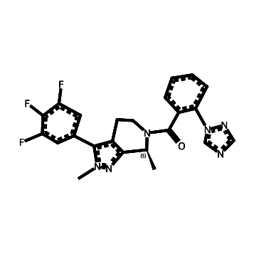 C[C@H]1c2nn(C)c(-c3cc(F)c(F)c(F)c3)c2CCN1C(=O)c1ccccc1-n1cncn1